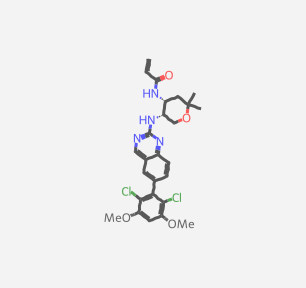 C=CC(=O)N[C@@H]1CC(C)(C)OC[C@@H]1Nc1ncc2cc(-c3c(Cl)c(OC)cc(OC)c3Cl)ccc2n1